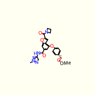 COOSc1ccc(Oc2cc(C(=O)Nc3cnn(C)n3)cc3oc(C(=O)N4CCC4)cc23)cc1